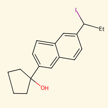 CCC(I)c1ccc2cc(C3(O)CCCC3)ccc2c1